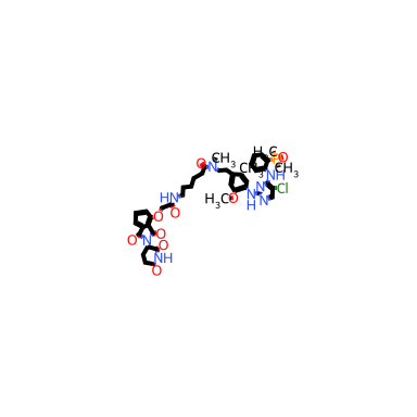 COc1cc(CCN(C)C(=O)CCCCCNC(=O)COc2cccc3c2C(=O)N(C2CCC(=O)NC2=O)C3=O)c(C)cc1Nc1ncc(Cl)c(Nc2ccccc2P(C)(C)=O)n1